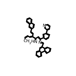 C\C=C/C=C(\C=C\c1ccc2ccccc2c1)C(=N)/C=C(\N=C\c1cc2ccccc2c2ccccc12)c1cccc(-c2cccnc2)c1